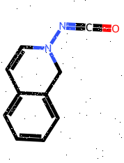 O=C=NN1C=Cc2ccccc2C1